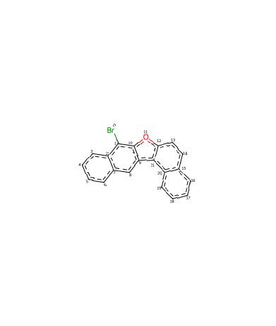 Brc1c2ccccc2cc2c1oc1ccc3ccccc3c12